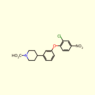 O=C(O)N1CCC(c2cccc(Oc3ccc([N+](=O)[O-])cc3Cl)c2)CC1